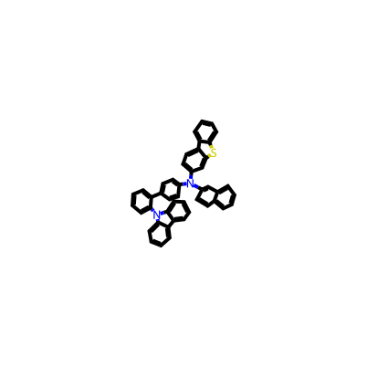 c1ccc(-n2c3ccccc3c3ccccc32)c(-c2ccc(N(c3ccc4ccccc4c3)c3ccc4c(c3)sc3ccccc34)cc2)c1